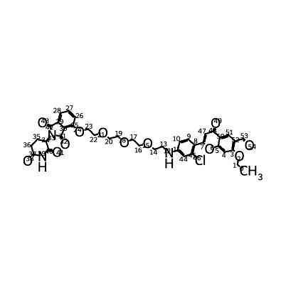 CCOc1cc2oc(-c3ccc(NCCOCCOCCOCCOc4cccc5c4C(=O)N(C4CCC(=O)NC4=O)C5=O)cc3Cl)cc(=O)c2cc1C=O